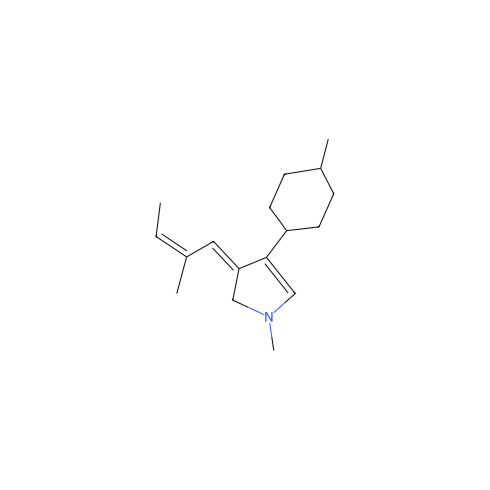 C/C=C(C)\C=C1/CN(C)C=C1C1CCC(C)CC1